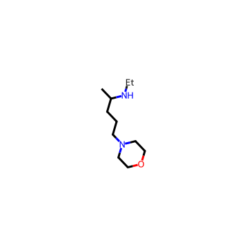 CCNC(C)CCCN1CCOCC1